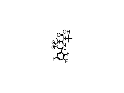 CN1C(N(C(=O)O)C(C)(C)C)=N[C@](C)(c2cc(I)cc(F)c2F)CS1(=O)=O